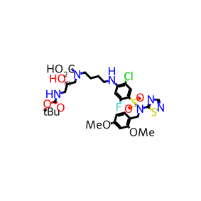 COc1ccc(CN(c2ncns2)S(=O)(=O)c2cc(Cl)c(NCCCCN(C[C@@H](O)CNC(=O)OC(C)(C)C)C(=O)O)cc2F)c(OC)c1